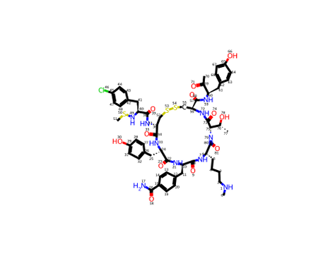 CNCCCC[C@@H]1NC(=O)[C@@H](Cc2ccc(C(N)=O)cc2)NC(=O)[C@H](Cc2ccc(O)cc2)NC(=O)[C@H](NC(=O)[C@H](Cc2ccc(Cl)cc2)NSC)CSSC[C@@H](C(=O)N[C@H](Cc2ccc(O)cc2)C(C)=O)NC(=O)[C@H]([C@@H](C)O)NC1=O